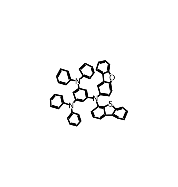 c1ccc(N(c2ccccc2)c2cc(N(c3ccccc3)c3ccccc3)cc(N(c3ccc4oc5ccccc5c4c3)c3cccc4c3sc3ccccc34)c2)cc1